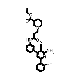 CCOC(=O)C1CCCN(CCC(=O)Nc2cccc(-c3cc(-c4ccccc4O)nc(N)c3C#N)c2)C1